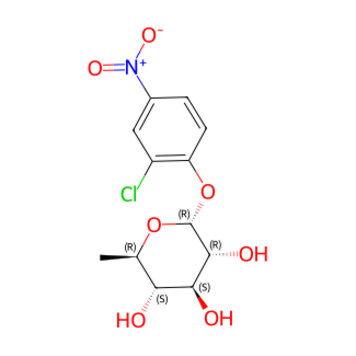 C[C@H]1O[C@H](Oc2ccc([N+](=O)[O-])cc2Cl)[C@H](O)[C@@H](O)[C@@H]1O